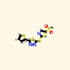 CS(=O)(=O)c1cnc(Sc2nnc(-c3cccs3)s2)s1